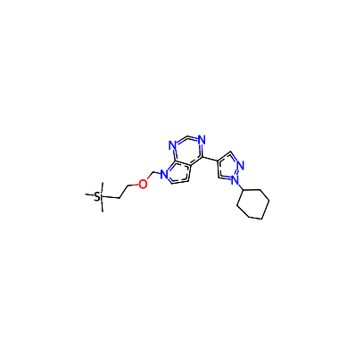 C[Si](C)(C)CCOCn1ccc2c(-c3cnn(C4CCCCC4)c3)ncnc21